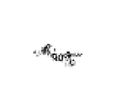 CNC(=O)[C@@H](NC(=O)c1ccc(-c2ccc(OCc3cc(C)nn3C)cn2)o1)C1CCCCC1